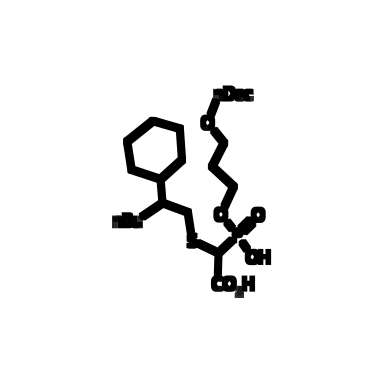 CCCCCCCCCCOCCCOP(=O)(O)C(SCC(CCCC)C1CCCCC1)C(=O)O